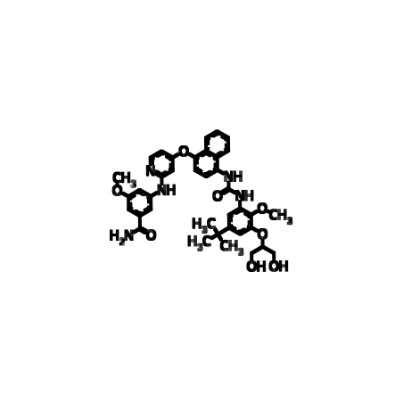 COc1cc(Nc2cc(Oc3ccc(NC(=O)Nc4cc(C(C)(C)C)cc(OC(CO)CO)c4OC)c4ccccc34)ccn2)cc(C(N)=O)c1